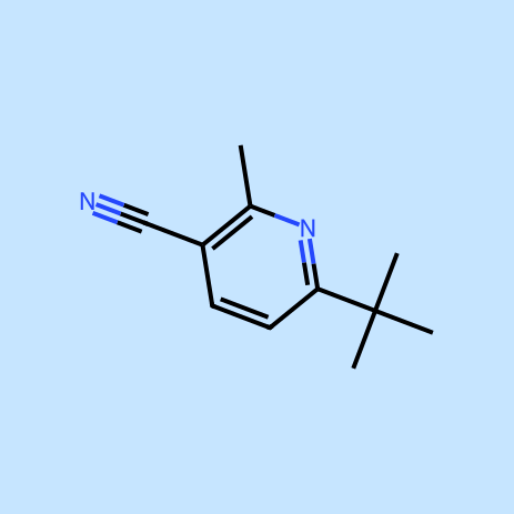 Cc1nc(C(C)(C)C)ccc1C#N